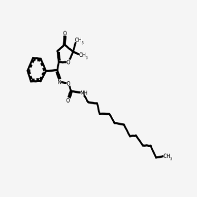 CCCCCCCCCCCCNC(=O)O/N=C(\C1=CC(=O)C(C)(C)O1)c1ccccc1